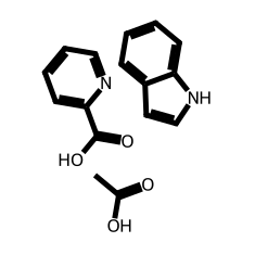 CC(=O)O.O=C(O)c1ccccn1.c1ccc2[nH]ccc2c1